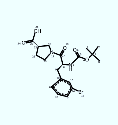 CC(C)(C)OC(=O)N[C@@H](Cc1cccc(Br)c1)C(=O)N1CC[C@H](C(=O)O)C1